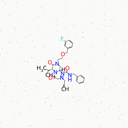 C#CCN1CC(=O)N2[C@@H](C(C)C)C(=O)N(CCOCc3cccc(F)c3)C[C@@H]2N1C(=O)NCc1ccccc1